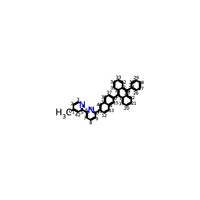 Cc1ccnc(-c2cccc(-c3ccc4cc(-c5c6ccccc6c(-c6ccccc6)c6ccccc56)ccc4c3)n2)c1